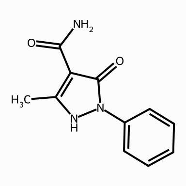 Cc1[nH]n(-c2ccccc2)c(=O)c1C(N)=O